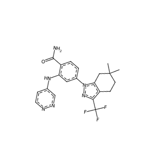 CC1(C)CCc2c(C(F)(F)F)nn(-c3ccc(C(N)=O)c(Nc4ccnnc4)c3)c2C1